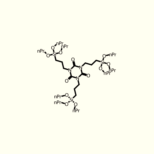 CCCO[Si](CCCn1c(=O)n(CCC[Si](OCCC)(OCCC)OCCC)c(=O)n(CCC[Si](OCCC)(OCCC)OCCC)c1=O)(OCCC)OCCC